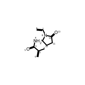 C=C(C)C(N)=O.C=CN1CCCC1=O